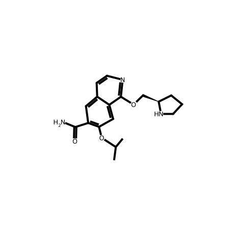 CC(C)Oc1cc2c(OC[C@H]3CCCN3)nccc2cc1C(N)=O